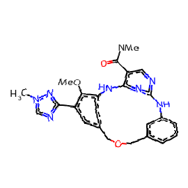 CNC(=O)c1cnc2nc1Nc1cc(cc(-c3ncn(C)n3)c1OC)COCc1cccc(c1)N2